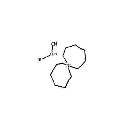 C1CCC[N+]2(CC1)CCCCC2.N#CNC#N